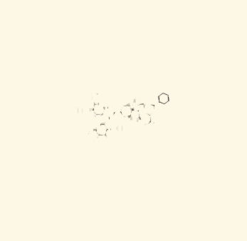 C[C@@H]1CO[C@@]2(C[C@@H]1OC(=O)c1ccccc1)O[C@@H]1C[C@@H](C(=O)O[C@@H]3O[C@H](CO)[C@@H](O)[C@H](O)[C@H]3O[C@@H]3O[C@H](CO)[C@@H](O)[C@H](O)[C@H]3O)C[C@H](O)[C@]1(O)C2=O